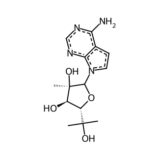 CC(C)(O)[C@H]1OC(n2ccc3c(N)ncnc32)[C@](C)(O)[C@@H]1O